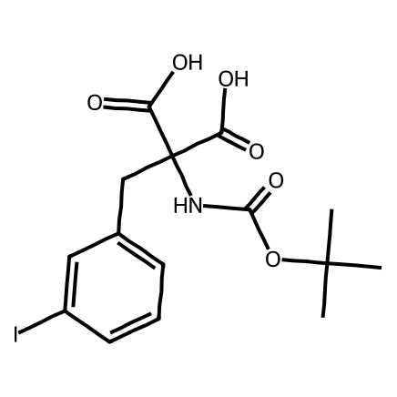 CC(C)(C)OC(=O)NC(Cc1cccc(I)c1)(C(=O)O)C(=O)O